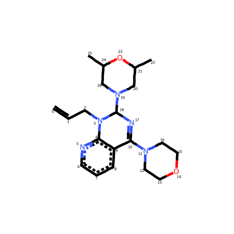 C=CCN1c2ncccc2C(N2CCOCC2)=NC1N1CC(C)OC(C)C1